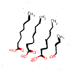 CCCCCCCC(=O)O.CCCCCCCC(=O)O.CCCCCCCC(=O)O.CCCCO